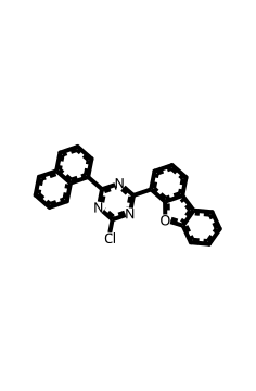 Clc1nc(-c2cccc3ccccc23)nc(-c2cccc3c2oc2ccccc23)n1